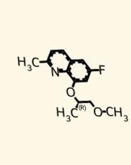 COC[C@@H](C)Oc1cc(F)cc2ccc(C)nc12